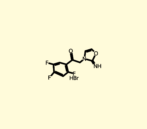 Br.N=c1occn1CC(=O)c1cc(F)c(F)cc1F